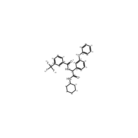 O=C(NC(C(=O)NC1CCCCC1)c1cccc(Oc2ccccc2)c1)c1cccc(C(F)(F)F)c1